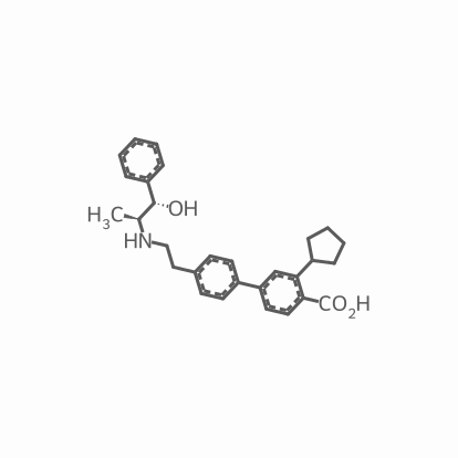 C[C@H](NCCc1ccc(-c2ccc(C(=O)O)c(C3CCCC3)c2)cc1)[C@@H](O)c1ccccc1